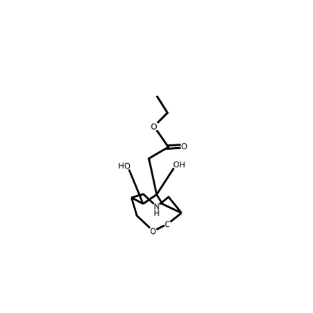 CCOC(=O)CC1(O)CC2CNCC(COC2)C1O